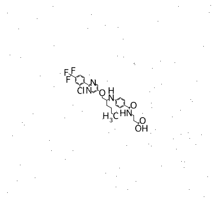 CCCCC(COc1cnc(-c2ccc(C(F)(F)F)cc2Cl)nc1)Nc1ccc(C(=O)NCCC(=O)O)cc1